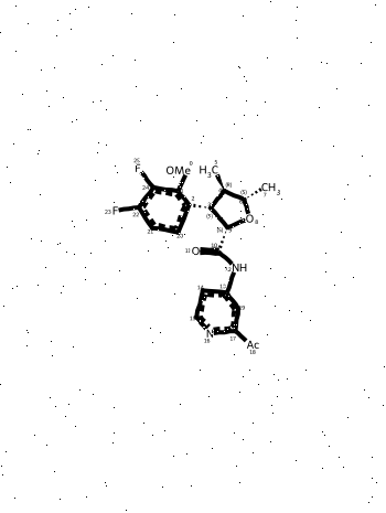 COc1c([C@@H]2[C@@H](C)[C@H](C)O[C@@H]2C(=O)Nc2ccnc(C(C)=O)c2)ccc(F)c1F